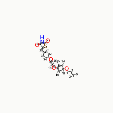 CC(C)=CCOc1c(C)c(C)c2c(c1C)CCC(C)(COc1ccc(/C=C3\SC(=O)NC3=O)cc1)O2